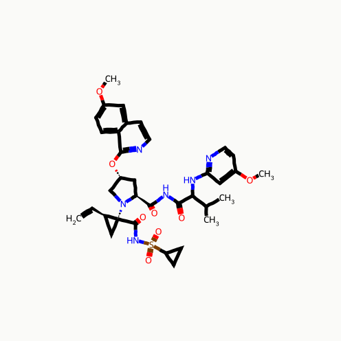 C=C[C@@H]1C[C@@]1(C(=O)NS(=O)(=O)C1CC1)N1C[C@H](Oc2nccc3cc(OC)ccc23)C[C@H]1C(=O)NC(=O)C(Nc1cc(OC)ccn1)C(C)C